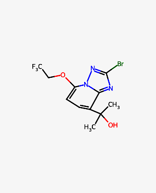 CC(C)(O)c1ccc(OCC(F)(F)F)n2nc(Br)nc12